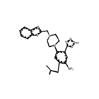 CC(C)Cc1cc(N2CCN(Cc3nc4ccccc4s3)CC2)c(-c2nn[nH]n2)cc1N